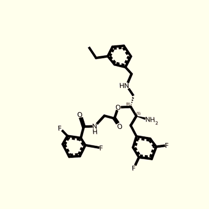 CCc1cccc(CNC[C@@H](OC(=O)CNC(=O)c2c(F)cccc2F)[C@@H](N)Cc2cc(F)cc(F)c2)c1